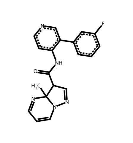 CC12N=CC=CN1N=CC2C(=O)Nc1ccncc1-c1cccc(F)c1